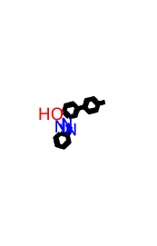 Cc1ccc(-c2ccc(O)c(-n3nc4ccccc4n3)c2)cc1